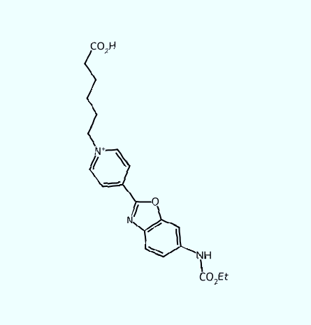 CCOC(=O)Nc1ccc2nc(-c3cc[n+](CCCCCC(=O)O)cc3)oc2c1